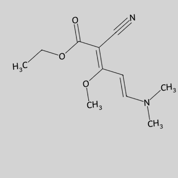 CCOC(=O)C(C#N)=C(C=CN(C)C)OC